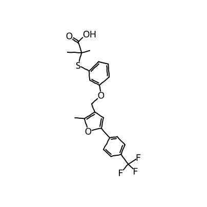 Cc1oc(-c2ccc(C(F)(F)F)cc2)cc1COc1cccc(SC(C)(C)C(=O)O)c1